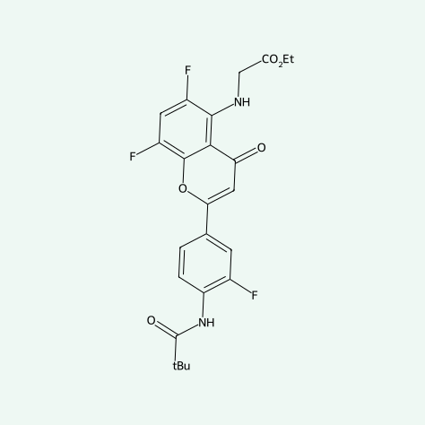 CCOC(=O)CNc1c(F)cc(F)c2oc(-c3ccc(NC(=O)C(C)(C)C)c(F)c3)cc(=O)c12